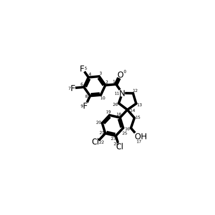 O=C(c1cc(F)c(F)c(F)c1)N1CCC(CCO)(c2ccc(Cl)c(Cl)c2)C1